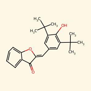 CC(C)(C)c1cc(/C=C2\Oc3ccccc3C2=O)cc(C(C)(C)C)c1O